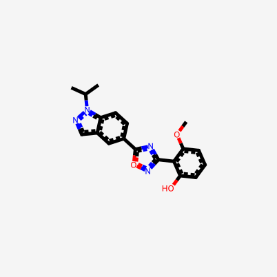 COc1cccc(O)c1-c1noc(-c2ccc3c(cnn3C(C)C)c2)n1